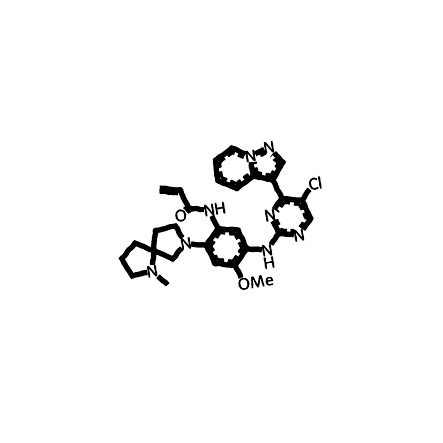 C=CC(=O)Nc1cc(Nc2ncc(Cl)c(-c3cnn4ccccc34)n2)c(OC)cc1N1CCC2(CCCN2C)C1